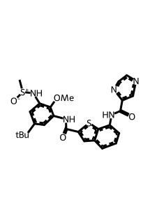 COc1c(NC(=O)c2cc3cccc(NC(=O)c4cnccn4)c3s2)cc(C(C)(C)C)cc1N[S+](C)[O-]